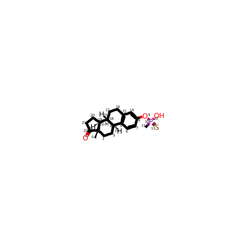 C[C@]12CC[C@@H]3c4ccc(OP(C)(O)=S)cc4CC[C@H]3[C@@H]1CCC2=O